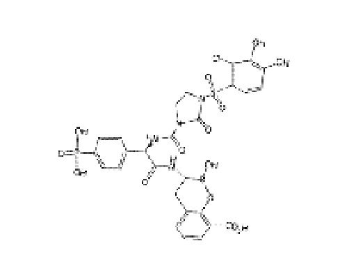 O=C(O)c1cccc2c1OB(O)[C@@H](NC(=O)[C@H](NC(=O)N1CCN(S(=O)(=O)c3ccc(O)c(O)c3Cl)C1=O)c1ccc(P(=O)(O)O)cc1)C2